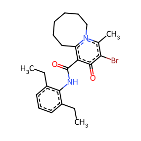 CCc1cccc(CC)c1NC(=O)c1c2n(c(C)c(Br)c1=O)CCCCCC2